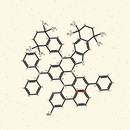 CC(C)(C)c1ccc(N2c3ccc(-c4ccccc4)cc3B3c4oc5cc6c(cc5c4N(c4ccc5c(c4)C(C)(C)CCC5(C)C)c4cc(N(c5ccccc5)c5ccccc5)cc2c43)C(C)(C)CCC6(C)C)c(-c2ccccc2)c1